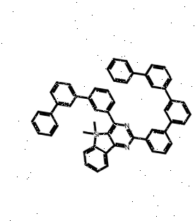 C[Si]1(C)c2ccccc2-c2nc(-c3cccc(-c4cccc(-c5cccc(-c6ccccc6)c5)c4)c3)nc(-c3cccc(-c4cccc(-c5ccccc5)c4)c3)c21